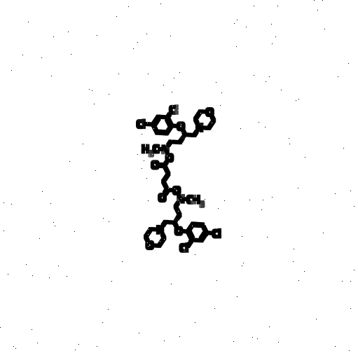 CN(CC[C@H](CN1CCOCC1)Oc1ccc(Cl)cc1Cl)OC(=O)CCC(=O)ON(C)CC[C@H](CN1CCOCC1)Oc1ccc(Cl)cc1Cl